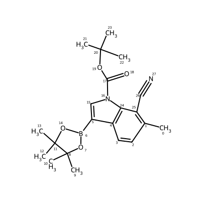 Cc1ccc2c(B3OC(C)(C)C(C)(C)O3)cn(C(=O)OC(C)(C)C)c2c1C#N